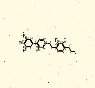 CCCc1ccc(CCc2ccc(-c3cc(F)c(F)c(F)c3)c(F)c2)c(F)c1F